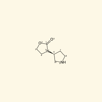 O=C1OCCN1[C@H]1CCNC1